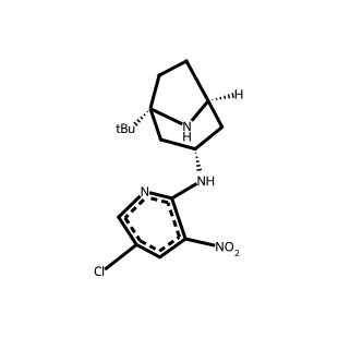 CC(C)(C)[C@@]12CC[C@@H](C[C@H](Nc3ncc(Cl)cc3[N+](=O)[O-])C1)N2